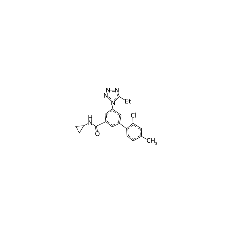 CCc1nnnn1-c1cc(C(=O)NC2CC2)cc(-c2ccc(C)cc2Cl)c1